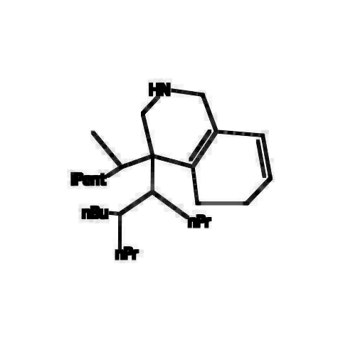 CCCCC(CCC)C(CCC)C1(C(C)C(C)CCC)CNCC2=C1CCC=C2